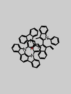 C=Cc1c(-c2c(C)c3ccccc3n2-c2ccccc2)n(-c2cccc(-n3c4ccccc4c4ccc5c6ccccc6n(-c6cccc(-n7c8ccccc8c8ccccc87)n6)c5c43)c2)c2ccccc12